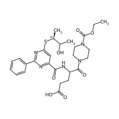 CCOC(=O)N1CCN(C(=O)C(CCC(=O)O)NC(=O)c2cc(S[C@@H](C)C(C)O)nc(-c3ccccc3)n2)CC1